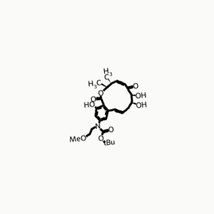 COCCN(C(=O)OC(C)(C)C)c1cc(O)c2c(c1)/C=C/C[C@H](O)[C@H](O)C(=O)/C=C\[C@@H](C)[C@H](C)OC2=O